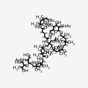 CCOCC(COC(C)(C)CC(C)(C)C(=O)NCC(C)(C)CC(C)(C)COC1OC(CO)C(O)C(O)C1NC(C)=O)(COC(C)(C)CC(C)(C)C(=O)NCC(C)(C)CC(C)(C)COC(OC(CO)[C@@H](C)O)[C@H](CO)NC(C)=O)NC(=O)CCCC(=O)NC(C)(C)CC(C)(C)CC(C)(C)C